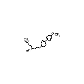 C/C=C/CCC(CCC)CCCC1CC=C(c2ccc(OC(F)(F)F)cc2)CC1